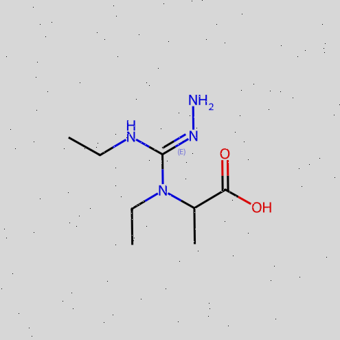 CCN/C(=N\N)N(CC)C(C)C(=O)O